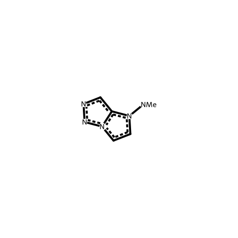 CNn1ccn2nncc12